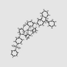 O=S(=O)(c1ccccc1)c1ccc(-c2ccc3c(c2)C2(c4cc(-c5ccc6c(c5)c5ccccc5n6-c5ccccc5)ccc4O3)c3ccccc3-c3ccccc32)cc1